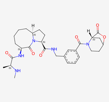 CN[C@@H](C)C(=O)N[C@H]1CCCC[C@H]2CC[C@@H](C(=O)NCc3cccc(C(=O)N4CCC5C[C@H]4C(=O)O5)c3)N2C1=O